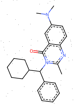 Cc1nc2ccc(N(C)C)cc2c(=O)n1C(c1ccccc1)C1CCCCC1